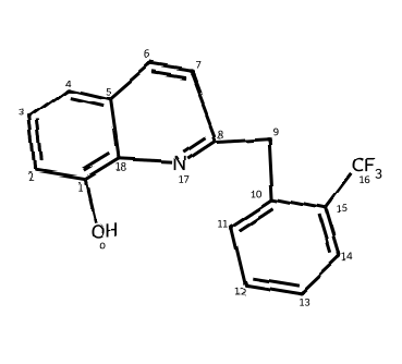 Oc1cccc2ccc(Cc3ccccc3C(F)(F)F)nc12